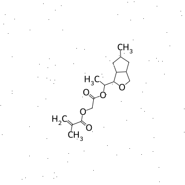 C=C(C)C(=O)OCC(=O)OC(C)C1OCC2CC(C)CC21